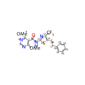 COc1ncnc(OC)c1C(=O)Nc1nc(C(F)(F)F)c(SCc2ccccc2)s1